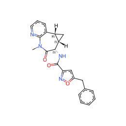 CN1C(=O)[C@@H](NC(=O)c2cc(Cc3ccccc3)on2)[C@H]2C[C@H]2c2cccnc21